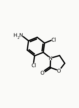 Nc1cc(Cl)c(N2CCOC2=O)c(Cl)c1